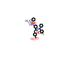 COc1cc(C(=O)O)ccc1Cc1cn(C(c2ccccc2)c2ccccc2)c2ccc(NS(=O)(=O)c3ccccc3C)cc12